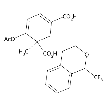 CC(=O)OC1=CC=C(C(=O)O)CC1(C)C(=O)O.FC(F)(F)C1OCCc2ccccc21